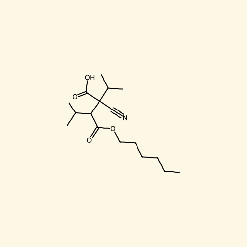 CCCCCCOC(=O)C(C(C)C)C(C#N)(C(=O)O)C(C)C